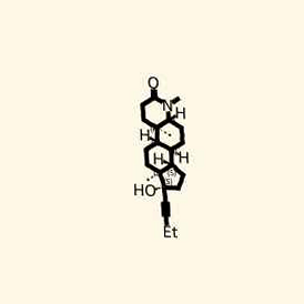 CCC#C[C@]1(O)CC[C@H]2[C@@H]3CC[C@H]4N(C)C(=O)CC[C@]4(C)[C@H]3CC[C@@]21C